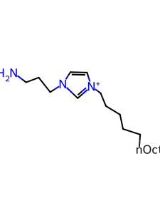 CCCCCCCCCCCCC[n+]1ccn(CCCN)c1